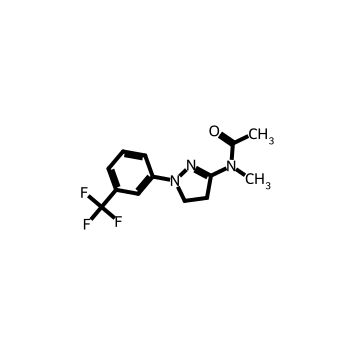 CC(=O)N(C)C1=NN(c2cccc(C(F)(F)F)c2)CC1